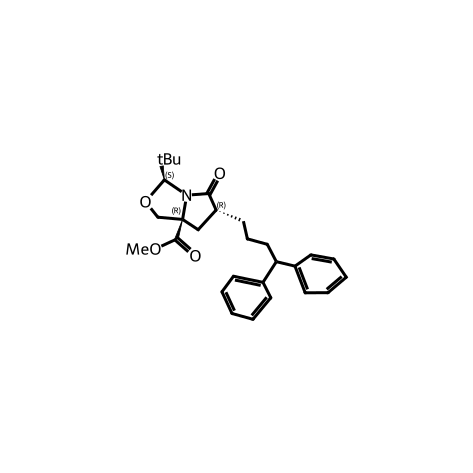 COC(=O)[C@@]12CO[C@@H](C(C)(C)C)N1C(=O)[C@H](CCCC(c1ccccc1)c1ccccc1)C2